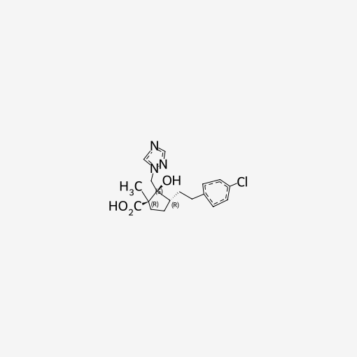 C[C@@]1(C(=O)O)CC[C@@H](CCc2ccc(Cl)cc2)[C@@]1(O)Cn1cncn1